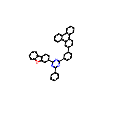 c1ccc(-c2nc(-c3cccc(-c4ccc5c6ccccc6c6ccccc6c5c4)c3)nc(-c3ccc4c(c3)oc3ccccc34)n2)cc1